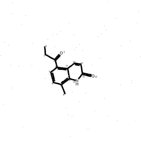 CCC(=O)c1ccc(C)c2[nH]c(=O)ccc12